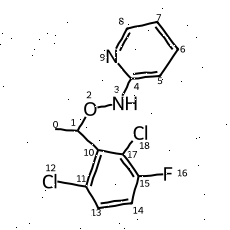 CC(ONc1ccccn1)c1c(Cl)ccc(F)c1Cl